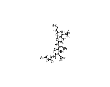 CC(=O)[C@@H](C)N(C)C(=O)[C@H](I)N(C)C(=O)[C@@H](NC(=O)[C@H](CC(C)C)N(C)C(=O)[C@H](C)N(C)C(=O)[C@H](NC(=O)[C@H](C)CC(C)C)C1[C@@H](C)[C@@H]1C)C1[C@@H](C)[C@@H]1C